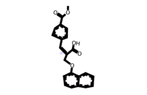 COC(=O)c1ccc(/C=C(/COc2cccc3ccccc23)C(=O)O)cc1